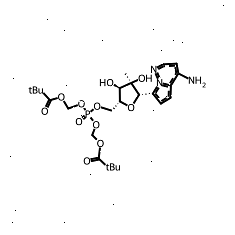 CC(C)(C)C(=O)OCOP(=O)(OCOC(=O)C(C)(C)C)OC[C@H]1O[C@@H](c2ccc3c(N)ccnn23)[C@](C)(O)[C@@H]1O